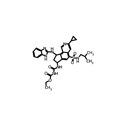 CCOC(=O)NC(=O)NC1CC(Nc2nc3ccccc3[nH]2)c2c1cc(S(=O)(=O)NCC(C)C)c1cc(C3CC3)ncc21